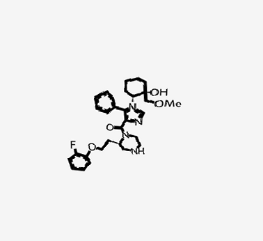 COC[C@]1(O)CCCC[C@H]1n1cnc(C(=O)N2CCNC[C@H]2CCOc2ccccc2F)c1-c1ccccc1